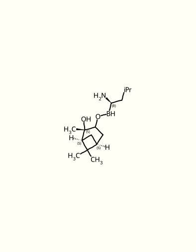 CC(C)C[C@H](N)BOC1C[C@@H]2C[C@@H](C2(C)C)[C@]1(C)O